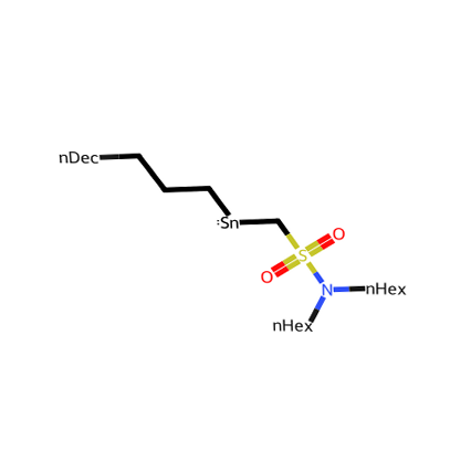 CCCCCCCCCCCC[CH2][Sn][CH2]S(=O)(=O)N(CCCCCC)CCCCCC